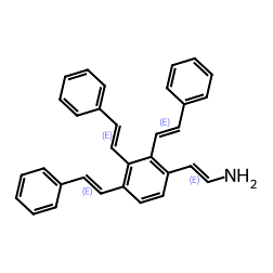 N/C=C/c1ccc(/C=C/c2ccccc2)c(/C=C/c2ccccc2)c1/C=C/c1ccccc1